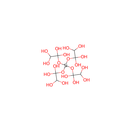 OC(O)C(O)(O)O[Si](OC(O)(O)C(O)O)(OC(O)(O)C(O)O)OC(O)(O)C(O)O